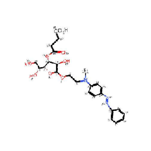 CCN(CCOC1O[C@H]([C@H](O)CO)[C@H](OC(=O)CCC(=O)O)[C@H]1O)c1ccc(N=Nc2ccccc2)cc1